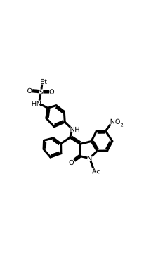 CCS(=O)(=O)Nc1ccc(NC(=C2C(=O)N(C(C)=O)c3ccc([N+](=O)[O-])cc32)c2ccccc2)cc1